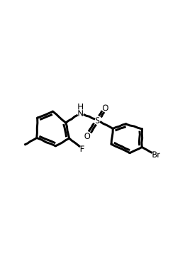 Cc1ccc(NS(=O)(=O)c2ccc(Br)cc2)c(F)c1